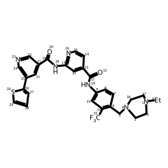 CCN1CCN(Cc2ccc(NC(=O)c3ccnc(NC(=O)c4cncc(-c5cccs5)c4)c3)cc2C(F)(F)F)CC1